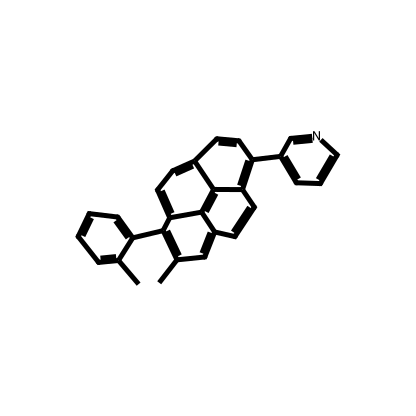 Cc1ccccc1-c1c(C)cc2ccc3c(-c4cccnc4)ccc4ccc1c2c43